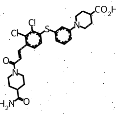 NC(=O)C1CCN(C(=O)C=Cc2ccc(Sc3cccc(N4CCC(C(=O)O)CC4)c3)c(Cl)c2Cl)CC1